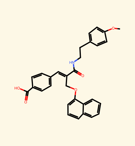 COc1ccc(CCNC(=O)/C(=C/c2ccc(C(=O)O)cc2)COc2cccc3ccccc23)cc1